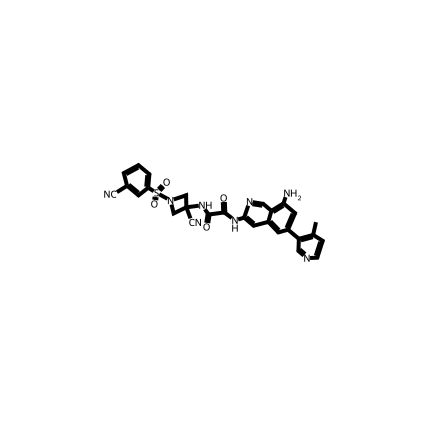 Cc1ccncc1-c1cc(N)c2cnc(NC(=O)C(=O)NC3(C#N)CN(S(=O)(=O)c4cccc(C#N)c4)C3)cc2c1